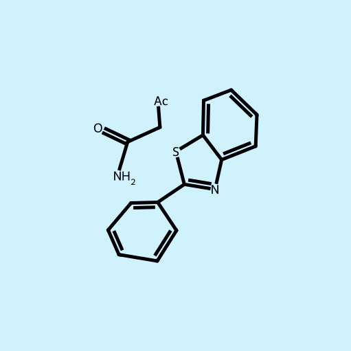 CC(=O)CC(N)=O.c1ccc(-c2nc3ccccc3s2)cc1